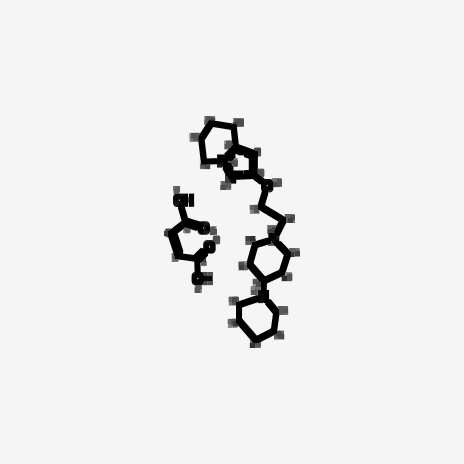 O=C(O)/C=C\C(=O)O.c1c(OCCN2CCC(N3CCCCC3)CC2)nn2c1CCCC2